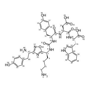 NCCCC[C@H](NC(=O)N[C@@H](Cc1ccc(O)cc1)C(=O)N[C@@H](CC(=O)O)C(=O)N[C@@H](Cc1c[nH]c2ccccc12)C(=O)O)c1nc([C@@H](N)Cc2ccc(O)cc2)no1